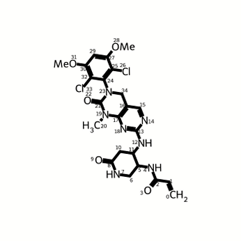 C=CC(=O)NC1CNC(=O)CC1Nc1ncc2c(n1)N(C)C(=O)N(c1c(Cl)c(OC)cc(OC)c1Cl)C2